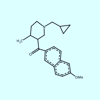 COc1ccc2cc(C(=O)C3CN(CC4CC4)CCC3C)ccc2c1